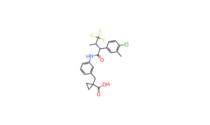 Cc1cc(C(C(=O)Nc2cccc(CC3(C(=O)O)CC3)c2)C(C)C(F)(F)F)ccc1Cl